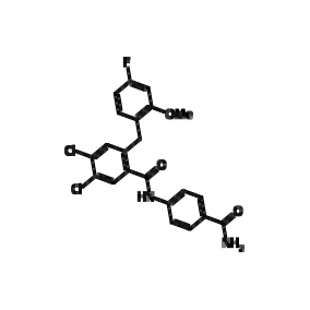 COc1cc(F)ccc1Cc1cc(Cl)c(Cl)cc1C(=O)Nc1ccc(C(N)=O)cc1